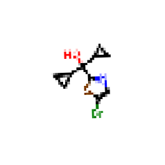 OC(c1ncc(Br)s1)(C1CC1)C1CC1